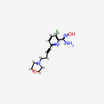 N/C(=N\O)c1nc(C#CCCN2CCOCC2)ccc1F